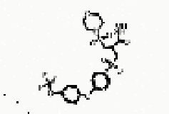 O=C(NO)C(CS(=O)(=O)c1ccc(Oc2ccc(OC(F)(F)F)cc2)cc1)CS(=O)(=O)N1CCOCC1